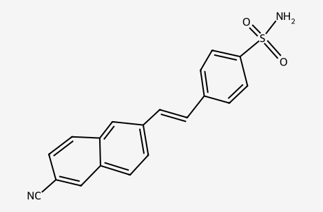 N#Cc1ccc2cc(C=Cc3ccc(S(N)(=O)=O)cc3)ccc2c1